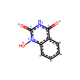 O=c1[nH]c(=O)n(O)c2ccccc12